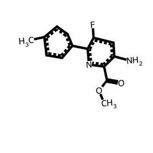 COC(=O)c1nc(-c2ccc(C)cc2)c(F)cc1N